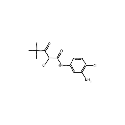 CC(C)(C)C(=O)C(Cl)C(=O)Nc1ccc(Cl)c(N)c1